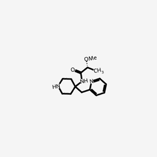 CO[C@H](C)C(=O)NC1(Cc2ccccn2)CCNCC1